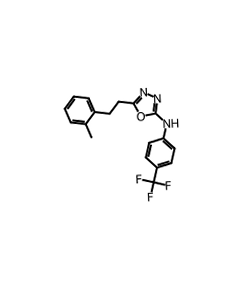 Cc1ccccc1CCc1nnc(Nc2ccc(C(F)(F)F)cc2)o1